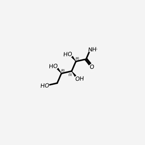 [NH]C(=O)[C@H](O)[C@@H](O)[C@H](O)CO